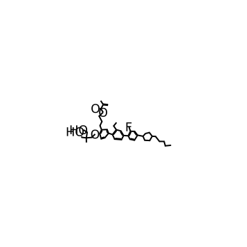 C=C(C)C(=O)OCCCc1cc(-c2ccc(-c3ccc(C4CCC(CCCCC)CC4)cc3F)cc2CC)ccc1OCC(C)(CO)CO